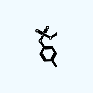 Cc1ccc(OS(=O)(=O)OI)cc1